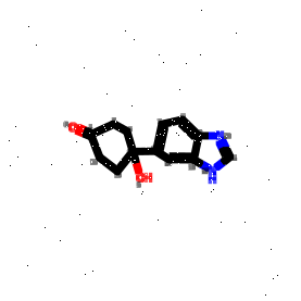 O=C1CCC(O)(c2ccc3nc[nH]c3c2)CC1